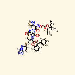 CC(C)(C)OC(=O)CO/N=C(\C(=O)NC1C(=O)N2C(C(=O)OC(c3ccccc3)c3ccccc3)=C(CSc3ccc4nncn4n3)C[S+]([O-])[C@H]12)c1cscn1